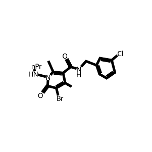 CCCNn1c(C)c(C(=O)NCc2cccc(Cl)c2)c(C)c(Br)c1=O